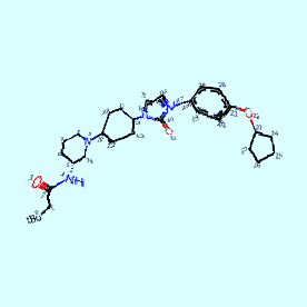 CC(C)(C)CC(=O)N[C@@H]1CCCN(C2CCC(n3ccn(-c4ccc(OC5CCCC5)cc4)c3=O)CC2)C1